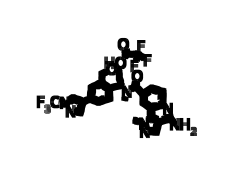 CN(C(=O)c1ccc2nc(N)c3cnn(C)c3c2c1)C1COCc2cc(-c3cnn(C(F)(F)F)c3)ccc21.O=C(O)C(F)(F)F